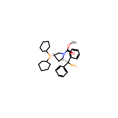 CC(C)(C)OC(=O)N1C[C@@H](P(C2CCCCC2)C2CCCCC2)C[C@H]1C(P)(c1ccccc1)c1ccccc1